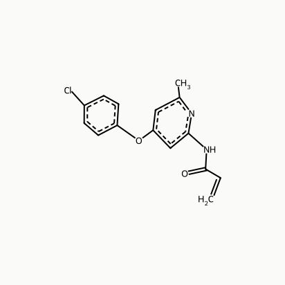 C=CC(=O)Nc1cc(Oc2ccc(Cl)cc2)cc(C)n1